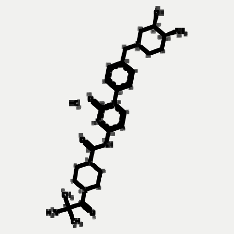 CC(C)(N)C(=O)N1CCN(C(=O)Nc2ccn(-c3ccc(CN4CC[C@H](N)[C@H](O)C4)cc3)c(=O)n2)CC1.Cl